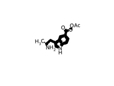 CC(=O)OOC(=O)c1ccc2[nH]cc(C[C@@H](C)N)c2c1